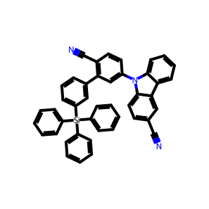 N#Cc1ccc2c(c1)c1ccccc1n2-c1ccc(C#N)c(-c2cccc([Si](c3ccccc3)(c3ccccc3)c3ccccc3)c2)c1